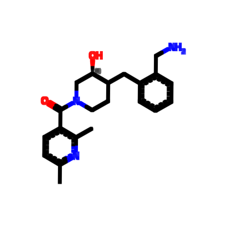 Cc1ccc(C(=O)N2CCC(Cc3ccccc3CN)[C@H](O)C2)c(C)n1